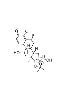 CC1(C)O[C@@H]2C[C@H]3[C@@H]4C[C@H](F)C5=C(Cl)C(=O)C=C[C@]5(C)[C@@]4(F)[C@@H](O)C[C@]3(C)[C@]2(C(=O)CO)O1